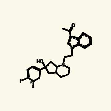 CC(=O)c1cn(CCN2CCCC3CC(O)(C4=CC=C(F)[C@H](C)C4)CC32)c2ccccc12